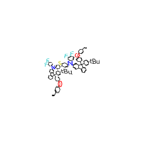 C=CC1=CC=C(OC2C=CC(C3(c4ccc(C(C)(C)C)cc4)C4=C(C=CCC4)c4ccc(N(C5=CC6SC7CC(N(C8=CC9C(C=C8)c8ccccc8C9(C8C=CC(OC9C=CC(C=C)CC9)=CC8)C8C=CC(C(C)(C)C)=CC8)C8C=CC(F)=C(F)C8)C=CC7C6C=C5)C5=CCC(F)C(F)C5)cc43)CC2)CC1